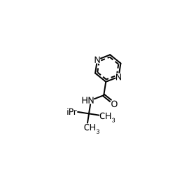 CC(C)C(C)(C)NC(=O)c1cnccn1